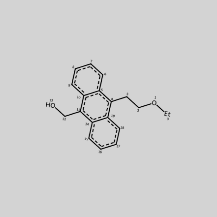 CCOCCc1c2ccccc2c(CO)c2ccccc12